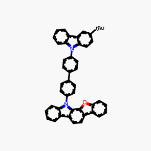 CC(C)(C)c1ccc2c(c1)c1ccccc1n2-c1ccc(-c2ccc(-n3c4ccccc4c4ccc5c6ccccc6oc5c43)cc2)cc1